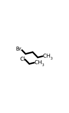 CCCCBr.CCCl